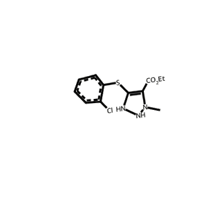 CCOC(=O)C1=C(Sc2ccccc2Cl)NNN1C